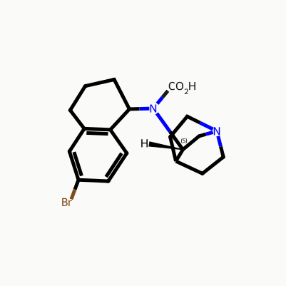 O=C(O)N(C1CCCc2cc(Br)ccc21)[C@@H]1CN2CCC1CC2